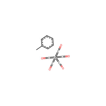 Cc1ccccc1.O=[C]=[Fe](=[C]=O)(=[C]=O)(=[C]=O)=[C]=O